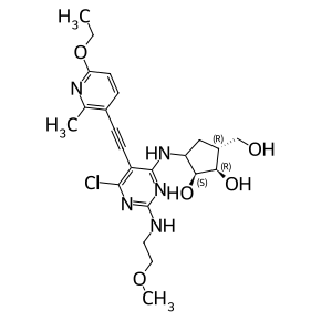 CCOc1ccc(C#Cc2c(Cl)nc(NCCOC)nc2NC2C[C@H](CO)[C@@H](O)[C@H]2O)c(C)n1